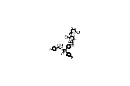 CCC1OC(O[C@@H]2C(CC)OC(CS(=O)(=O)c3ccc([C@@H]4[C@@H](CC[C@H](O)c5ccc(F)cc5)C(=O)N4c4ccc(F)cc4)cc3)[C@@H](C)[C@H]2C)[C@@H](C)[C@@H](C)[C@@H]1C